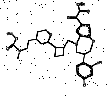 CCCc1cc(Cl)ccc1C1COc2ccc(C(=O)C(=O)OC)cc2N(CC2CCC2C2CC(CCN(C)C(=O)OC(C)(C)C)CCO2)C1